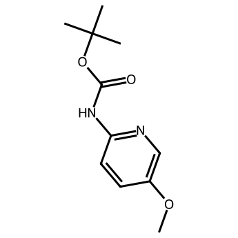 COc1ccc(NC(=O)OC(C)(C)C)nc1